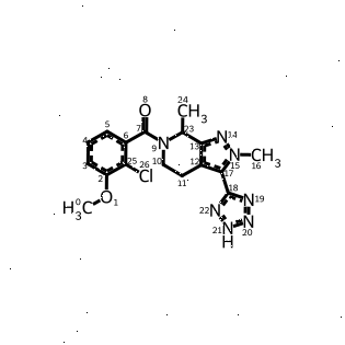 COc1cccc(C(=O)N2CCc3c(nn(C)c3-c3nn[nH]n3)C2C)c1Cl